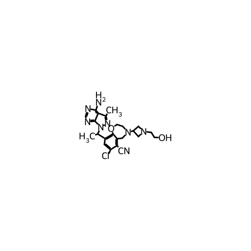 Cc1nn(C(C)c2cc(Cl)c(C#N)c3c2OCCN(C2CN(CCO)C2)C3)c2ncnc(N)c12